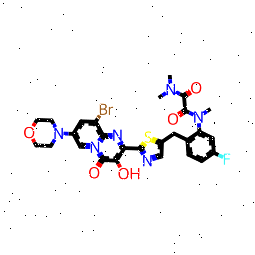 CN(C)C(=O)C(=O)N(C)c1cc(F)ccc1Cc1cnc(-c2nc3c(Br)cc(N4CCOCC4)cn3c(=O)c2O)s1